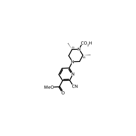 COC(=O)c1ccc(N2C[C@@H](C)N(C(=O)O)[C@@H](C)C2)nc1C#N